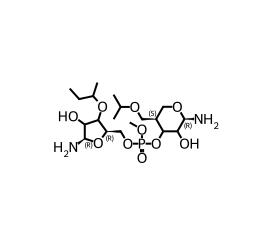 CCC(C)OC1C(O)[C@H](N)O[C@@H]1COP(=O)(OC)OC1C(O)[C@H](N)OC[C@@H]1COC(C)C